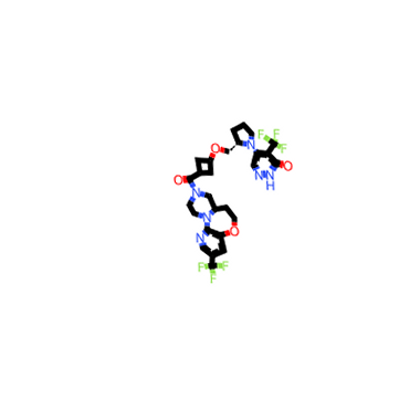 O=C(C1CC(OC[C@@H]2CCCN2c2cn[nH]c(=O)c2C(F)(F)F)C1)N1CCN2c3ncc(C(F)(F)F)cc3OCCC2C1